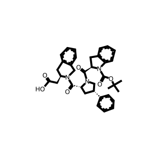 CC(C)(C)OC(=O)N1c2ccccc2C[C@@H]1C(=O)N1C[C@H](c2ccccc2)C[C@@H]1C(=O)N1Cc2ccccc2C[C@@H]1CC(=O)O